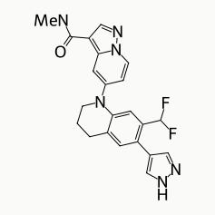 CNC(=O)c1cnn2ccc(N3CCCc4cc(-c5cn[nH]c5)c(C(F)F)cc43)cc12